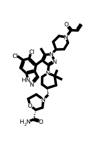 C=CC(=O)N1CCC(n2nc(N3CC[C@@H](CN4CCO[C@@H](C(N)=O)C4)CC3(C)C)c(-c3c(Cl)c(Cl)cc4[nH]ncc34)c2C)CC1